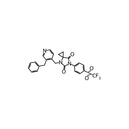 O=C1N(c2ccc(S(=O)(=O)C(F)(F)F)cc2)C(=O)C2(CC2)N1Cc1ccncc1Cc1ccccc1